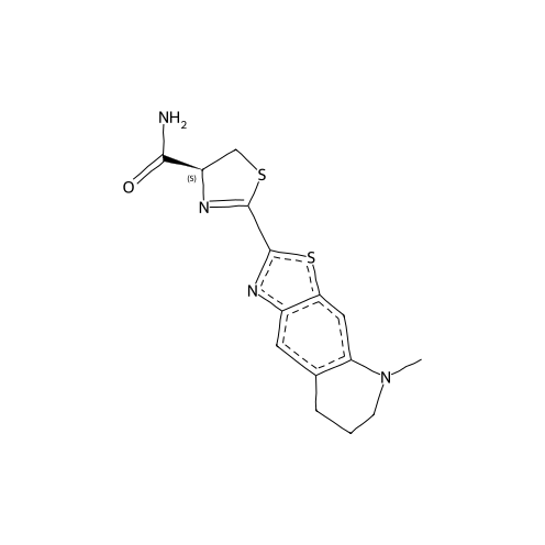 CN1CCCc2cc3nc(C4=N[C@@H](C(N)=O)CS4)sc3cc21